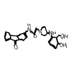 O=C(CN1CCC(Nc2cccc(O)c2CO)CC1)Nc1ccc2c(c1)-c1ccccc1C2=O